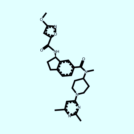 COc1cc(C(=O)N[C@@H]2CCc3ccc(C(=O)N(C)C4CCN(c5cc(C)nc(C)n5)CC4)cc32)on1